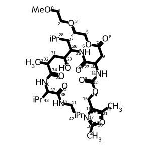 COCCOCCOC(=O)CC(NC(=O)OCc1nc(C)oc1C)C(=O)NC(CC(C)C)C(O)CC(C)C(=O)NC(C(=O)NCC(C)C)C(C)C